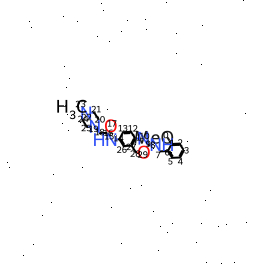 COc1ccccc1CNC1=Nc2ccc(NC(=O)CN3CCN(C)CC3)cc2CO1